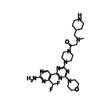 CN(CC(=O)N1CCN(c2nc(-c3cnc(N)nc3C(F)F)nc(N3CCOCC3)n2)CC1)CC1CCNCC1